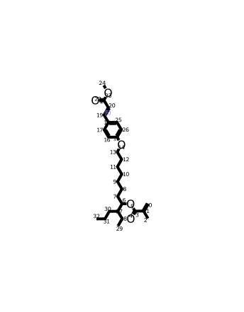 C=C(C)C(=O)OC(CCCCCCCOc1ccc(/C=C/C(=O)OC)cc1)C(CC)CCC